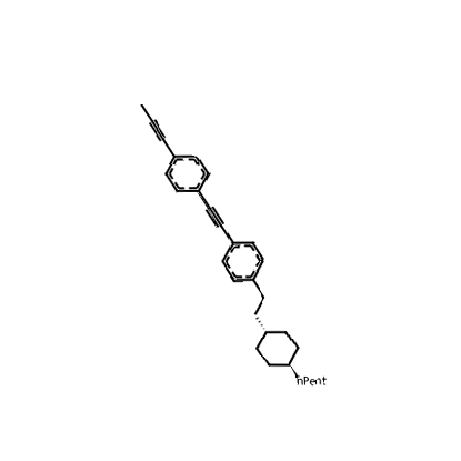 CC#Cc1ccc(C#Cc2ccc(CC[C@H]3CC[C@H](CCCCC)CC3)cc2)cc1